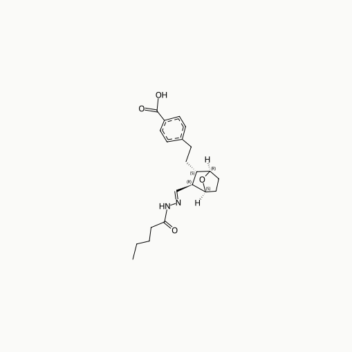 CCCCC(=O)NN=C[C@H]1[C@H](CCc2ccc(C(=O)O)cc2)[C@H]2CC[C@@H]1O2